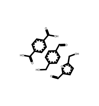 O=C(O)c1ccc(C(=O)O)cc1.O=Cc1ccc(CO)cc1.O=Cc1ccc(CO)o1